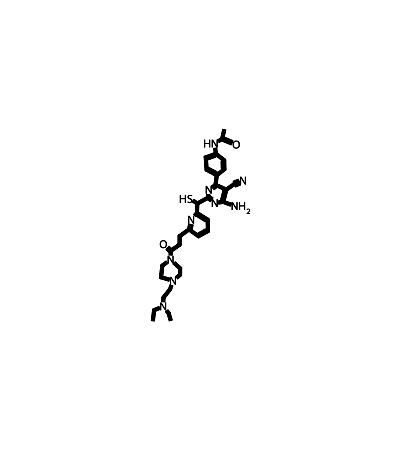 CCN(CC)CCN1CCN(C(=O)CCc2cccc(C(S)c3nc(N)c(C#N)c(-c4ccc(NC(C)=O)cc4)n3)n2)CC1